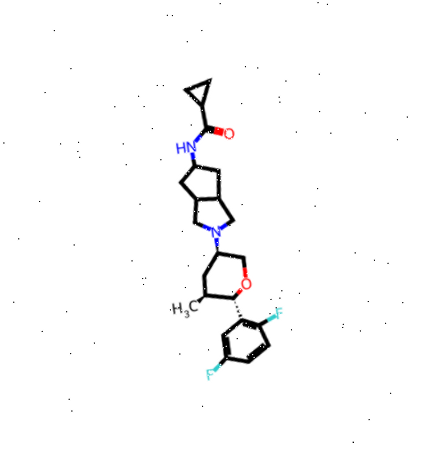 C[C@H]1C[C@@H](N2CC3CC(NC(=O)C4CC4)CC3C2)CO[C@@H]1c1cc(F)ccc1F